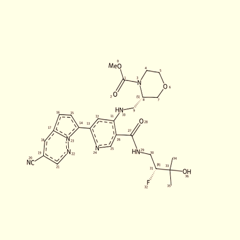 COC(=O)N1CCOC[C@@H]1CNc1cc(-c2ccc3cc(C#N)cnn23)ncc1C(=O)NC[C@@H](F)C(C)(C)O